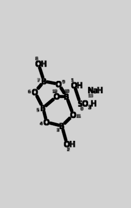 O=S(=O)(O)O.OB1OB2OB(O)OB(O1)O2.[NaH]